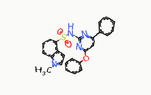 Cn1ccc2c(S(=O)(=O)Nc3nc(Oc4ccccc4)cc(-c4ccccc4)n3)cccc21